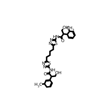 CC1C=C(C(CO)C(=O)Nc2nnc(CCCCc3nnc(NC(=O)C(CO)C4C=CC=CC4C)s3)s2)C=CC1